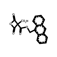 O=C(O)C1(C(=O)OCc2c3ccccc3cc3ccccc23)C(=O)OC1=O